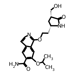 CC(C)Oc1cc2c(OCC[C@@H]3C[C@H](CO)C(=O)N3)nccc2cc1C(N)=O